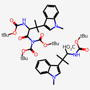 Cn1cc(C(C)(C)C(NC(=O)OC(C)(C)C)C(=O)N(C(=O)OC(C)(C)C)C(=O)OC(C)(C)C)c2ccccc21.Cn1cc(C(C)(C)C(NC(=O)OC(C)(C)C)C(=O)O)c2ccccc21